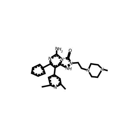 Cc1cc(-c2c(-c3ccccc3)nc(N)[n+]3c(=O)n(CCN4CCN(C)CC4)[nH]c23)cc(C)n1